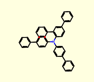 c1ccc(-c2ccc(N(c3ccc(-c4ccccc4)cc3)c3ccc(-c4ccccc4)cc3-c3ccccc3)cc2)cc1